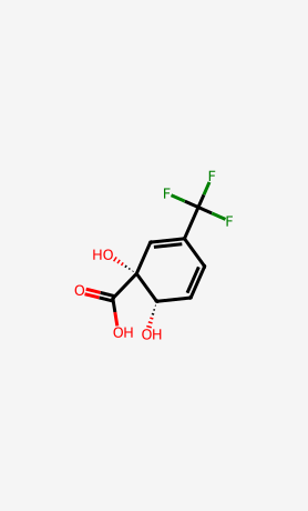 O=C(O)[C@@]1(O)C=C(C(F)(F)F)C=C[C@@H]1O